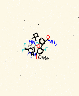 COC1=CC(F)=C(c2cc(C(N)=O)ccc2F)CC1(C(N)=O)[C@@H]1[C@H]2CC(=C(F)F)[C@H](C2)[C@@H]1C(=O)NCC1(C)CCC1